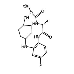 C[C@H](NC(=O)OC(C)(C)C)C(=O)Nc1ccc(F)cc1NC1CCC(C#N)CC1